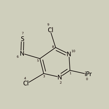 CC(C)c1nc(Cl)c(N=S)c(Cl)n1